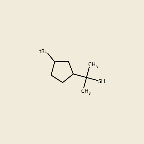 CC(C)(C)C1CCC(C(C)(C)S)C1